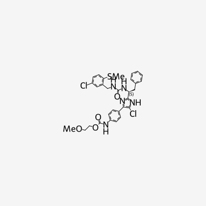 COCCOC(=O)Nc1ccc(-c2nc([C@H](Cc3ccccc3)NC(=O)NCc3cc(Cl)ccc3SC)[nH]c2Cl)cc1